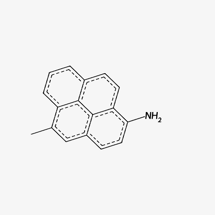 Cc1cc2ccc(N)c3ccc4cccc1c4c23